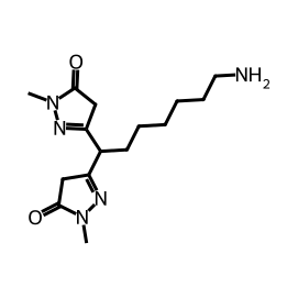 CN1N=C(C(CCCCCCN)C2=NN(C)C(=O)C2)CC1=O